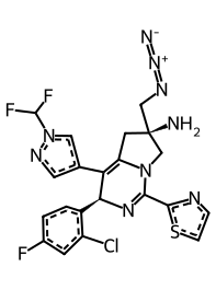 [N-]=[N+]=NC[C@@]1(N)CC2=C(c3cnn(C(F)F)c3)[C@H](c3ccc(F)cc3Cl)N=C(c3nccs3)N2C1